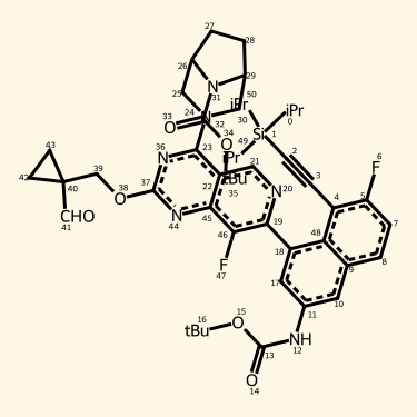 CC(C)[Si](C#Cc1c(F)ccc2cc(NC(=O)OC(C)(C)C)cc(-c3ncc4c(N5CC6CCC(C5)N6C(=O)OC(C)(C)C)nc(OCC5(C=O)CC5)nc4c3F)c12)(C(C)C)C(C)C